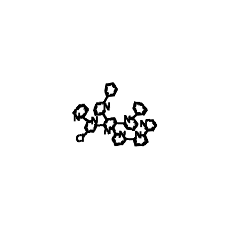 Clc1cc(-c2ccccn2)nc(-c2nc(-c3cccc(-c4cccc(-c5ccccn5)n4)n3)c(-c3cccc(-c4ccccc4)n3)cc2-c2cccc(-c3ccccc3)n2)c1